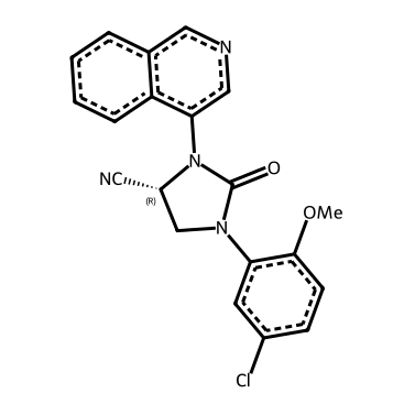 COc1ccc(Cl)cc1N1C[C@H](C#N)N(c2cncc3ccccc23)C1=O